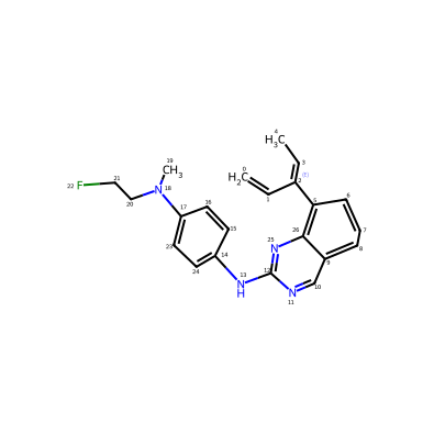 C=C/C(=C\C)c1cccc2cnc(Nc3ccc(N(C)CCF)cc3)nc12